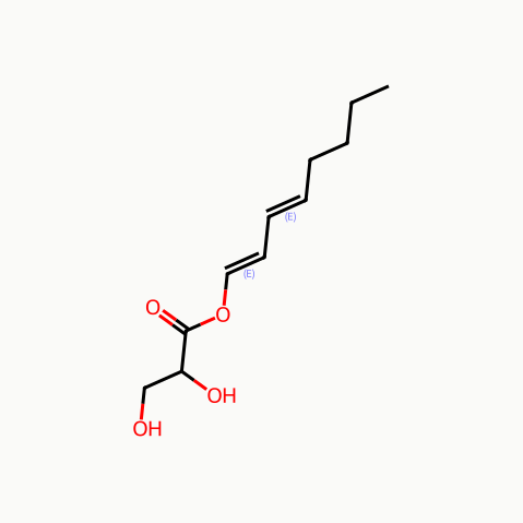 CCCC/C=C/C=C/OC(=O)C(O)CO